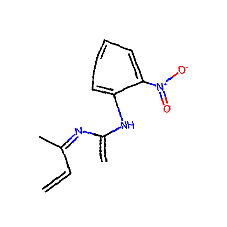 C=C/C(C)=N\C(=C)Nc1ccccc1[N+](=O)[O-]